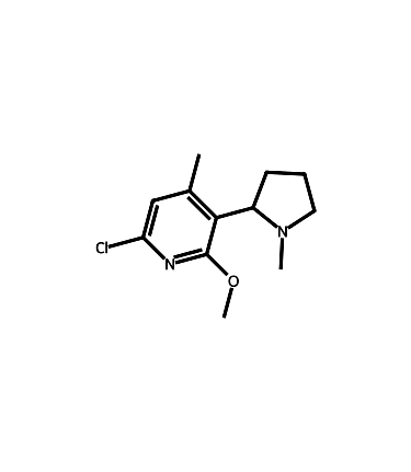 COc1nc(Cl)cc(C)c1C1CCCN1C